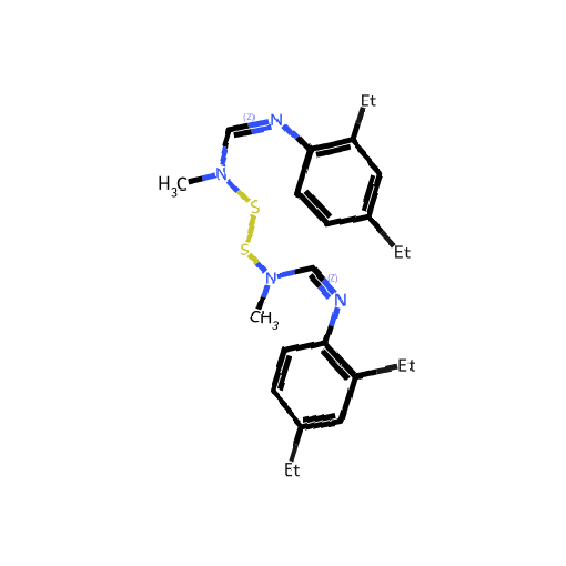 CCc1ccc(/N=C\N(C)SSN(C)/C=N\c2ccc(CC)cc2CC)c(CC)c1